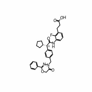 O=C(O)CCc1cccc(NC(=O)[C@H](c2ccc(CN3N=C(c4ccccc4)OCC3=O)cc2)C2CCCC2)c1F